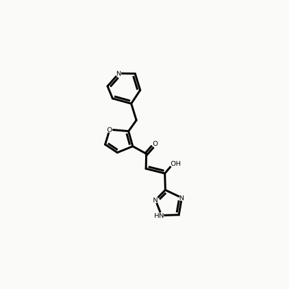 O=C(C=C(O)c1nc[nH]n1)c1ccoc1Cc1ccncc1